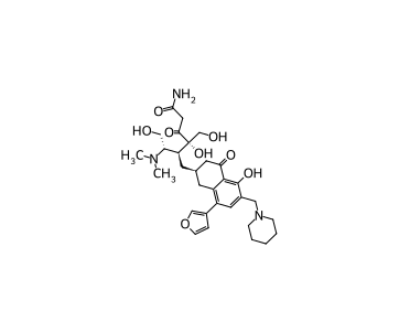 CN(C)[C@H](CO)[C@H](C[C@H]1CC(=O)c2c(O)c(CN3CCCCC3)cc(-c3ccoc3)c2C1)[C@](O)(CO)C(=O)CC(N)=O